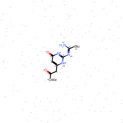 COC(=O)Cc1cc(=O)nc(/N=C(\N)C(C)(C)C)[nH]1